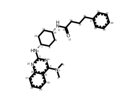 CN(C)c1nc(N[C@H]2CC[C@@H](NC(=O)CCCc3ccccc3)CC2)nc2ccccc12